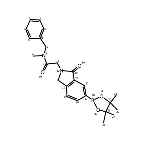 CN(Cc1ccccc1)C(=O)CN1Cc2ccc(B3OC(C)(C)C(C)(C)O3)cc2C1=O